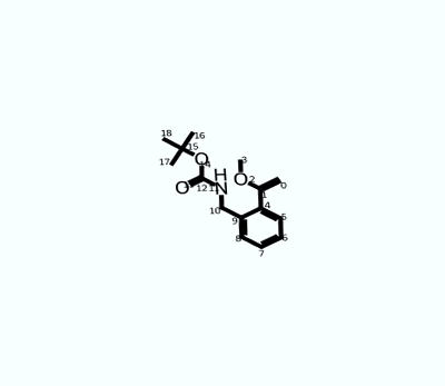 C=C(OC)c1ccccc1CNC(=O)OC(C)(C)C